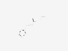 O=C(NCc1cc[nH]c1)OCC(F)F